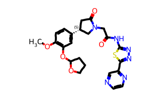 COc1ccc([C@@H]2CC(=O)N(CC(=O)Nc3nnc(-c4cnccn4)s3)C2)cc1OC1CCCO1